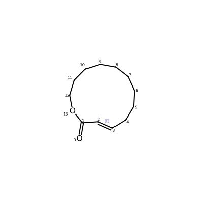 O=C1/C=C/CCCCCCCCCO1